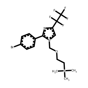 CS(C)(C)CCOCn1cc(C(F)(F)C(F)(F)F)nc1-c1ccc(Br)cc1